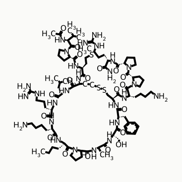 CCCC[C@@H]1NC(=O)[C@H](CCCCN)NC(=O)[C@H](CCCNC(=N)N)NC(=O)[C@H](CC(C)C)NC(=O)[C@@H](NC(=O)[C@H](CCSC)NC(=O)[C@@H]2CCCN2C(=O)[C@@H](NC(C)=O)C(C)C)CCSSC[C@@H](C(=O)N[C@@H](CCCCN)C(=O)N2CCC[C@H]2C(=O)N2CCC[C@H]2C(=O)N[C@@H](CCCNC(=N)N)C(N)=O)NC(=O)[C@H](Cc2ccccc2)NC(=O)[C@H](CO)NC(=O)C(C)NC(=O)[C@@H]2CCCN2C1=O